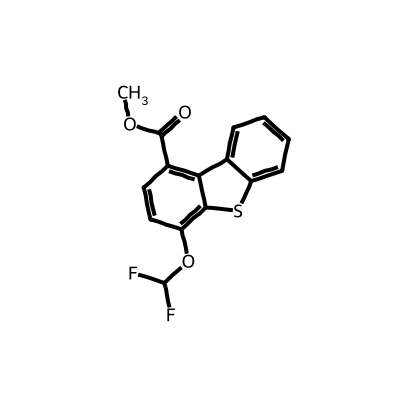 COC(=O)c1ccc(OC(F)F)c2sc3ccccc3c12